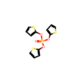 O=P(Oc1cccs1)(Oc1cccs1)Oc1cccs1